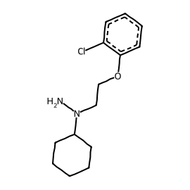 NN(CCOc1ccccc1Cl)C1CCCCC1